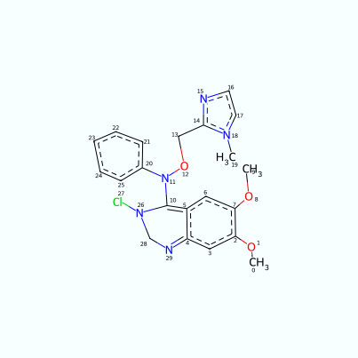 COc1cc2c(cc1OC)=C(N(OCc1nccn1C)c1ccccc1)N(Cl)CN=2